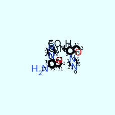 CN1CCN(c2cc([N+](=O)[O-])cc3ccoc23)CC1.Nc1cc(N2CCN(C(=O)O)CC2)c2occc2c1